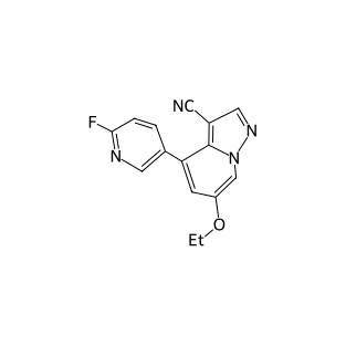 CCOc1cc(-c2ccc(F)nc2)c2c(C#N)cnn2c1